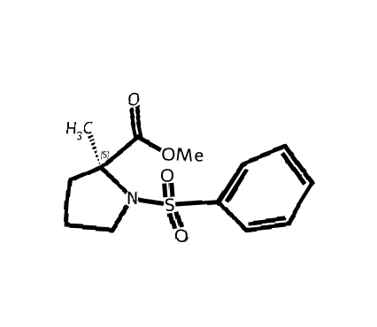 COC(=O)[C@]1(C)CCCN1S(=O)(=O)c1ccccc1